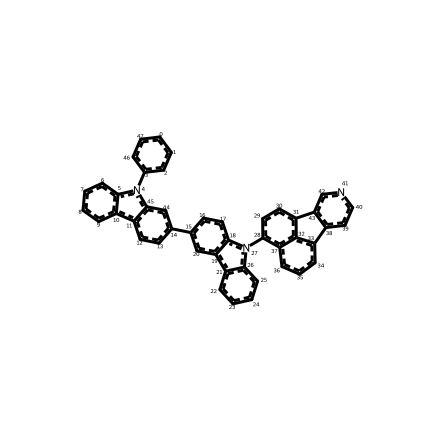 c1ccc(-n2c3ccccc3c3ccc(-c4ccc5c(c4)c4ccccc4n5-c4ccc5c6c(cccc46)-c4ccncc4-5)cc32)cc1